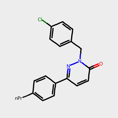 CCCc1ccc(-c2ccc(=O)n(Cc3ccc(Cl)cc3)n2)cc1